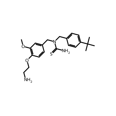 COc1cc(CN(Cc2ccc(C(C)(C)C)cc2)C(N)=S)ccc1OCCN